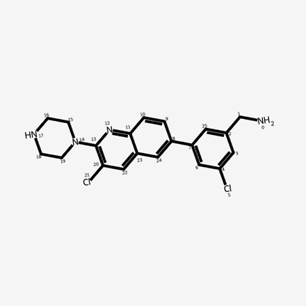 NCc1cc(Cl)cc(-c2ccc3nc(N4CCNCC4)c(Cl)cc3c2)c1